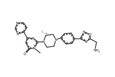 C[C@@H]1CN(c2ccc(-c3noc(CN)n3)cc2)CCN1c1nc(-c2ccncn2)cc(=O)n1C